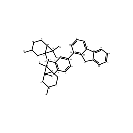 CC1CCC2C(C)(C)C2(Oc2ccc(-c3cccc4c3Cc3ccccc3-4)cc2OC23CC(C)CCC2C3(C)C)C1